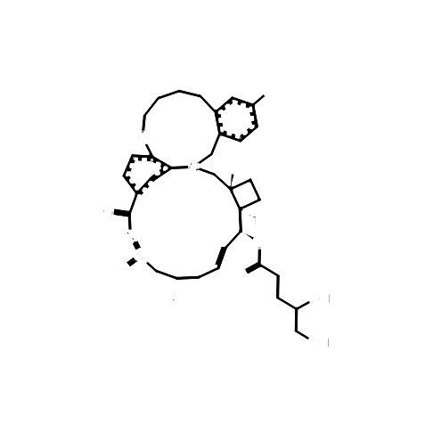 C[C@H]1C/C=C/[C@H](OC(=O)CCC(O)CO)[C@@H]2CC[C@H]2CN2Cc3ccc(Cl)cc3CCCCOc3ccc(cc32)C(=O)/N=[SH](=O)\C1